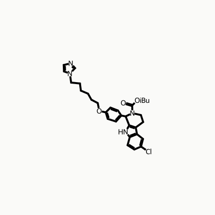 CC(C)COC(=O)N1CCc2c([nH]c3ccc(Cl)cc23)C1c1ccc(OCCCCCCn2ccnc2)cc1